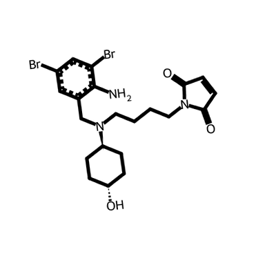 Nc1c(Br)cc(Br)cc1CN(CCCCN1C(=O)C=CC1=O)[C@H]1CC[C@H](O)CC1